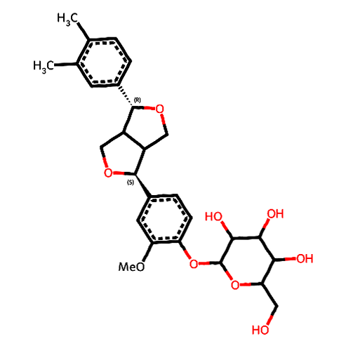 COc1cc([C@H]2OCC3C2CO[C@H]3c2ccc(C)c(C)c2)ccc1OC1OC(CO)C(O)C(O)C1O